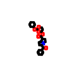 CCC(OC(=O)OC1CCCCC1)OC(=O)C1CCn2c(C(=O)c3ccccc3)ccc21